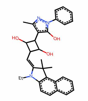 CCN1C(=CC2C(O)C(c3c(C)nn(-c4ccccc4)c3O)C2O)C(C)(C)c2c1ccc1ccccc21